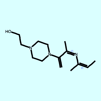 C=C(/C(C)=N\C(C)=C/C)N1CCN(CCO)CC1